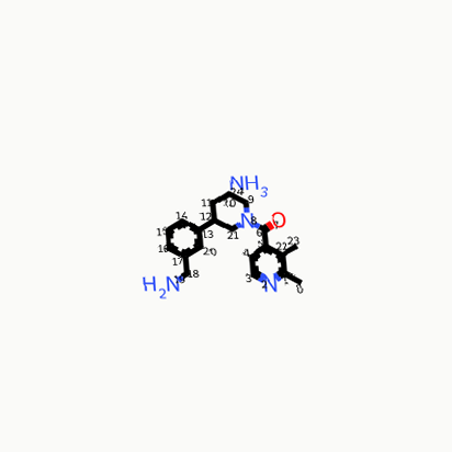 Cc1nccc(C(=O)N2CCCC(c3cccc(CN)c3)C2)c1C.N